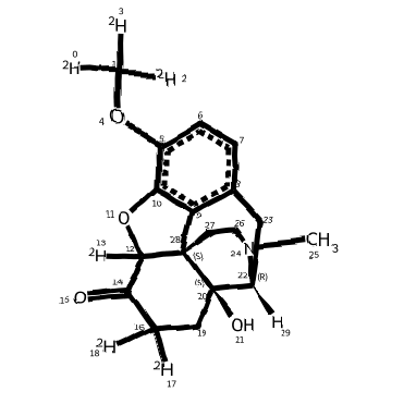 [2H]C([2H])([2H])Oc1ccc2c3c1OC1([2H])C(=O)C([2H])([2H])C[C@@]4(O)[C@@H](C2)N(C)CC[C@]314